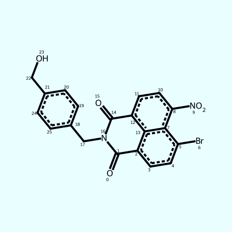 O=C1c2ccc(Br)c3c([N+](=O)[O-])ccc(c23)C(=O)N1Cc1ccc(CO)cc1